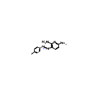 Nc1ccc(/N=N/c2ccc(I)cc2)c(N)n1